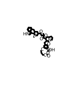 CN1CC(C(=O)CC2(C)OC3C(C2=O)C(Cc2ccc4c(c2)CCCCCC(=O)OB4O)C(=O)N2CCCC32)CC2Cc3cccc4[nH]cc(c34)C21